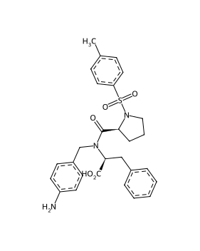 Cc1ccc(S(=O)(=O)N2CCC[C@H]2C(=O)N(Cc2ccc(N)cc2)[C@@H](Cc2ccccc2)C(=O)O)cc1